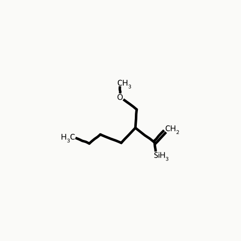 C=C([SiH3])C(CCCC)COC